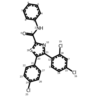 O=C(Nc1ccccc1)c1nc(-c2ccc(Cl)cc2Cl)c(-c2ccc(Cl)cc2)s1